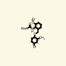 CCOc1cccc(COc2ccc(CC)cc2C)c1NC(=O)NC